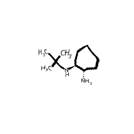 CC(C)(C)N[C@H]1CCCC[C@@H]1N